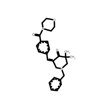 CC1(C)CN(Cc2ccccc2)CC(=Cc2ccc(C(=O)N3CCOCC3)cc2)C1=O